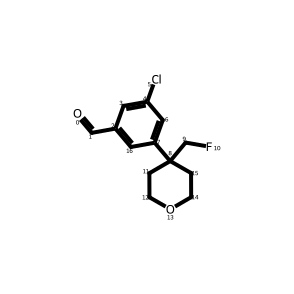 O=Cc1cc(Cl)cc(C2(CF)CCOCC2)c1